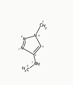 CBc1cn(C)nn1